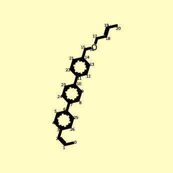 C/C=C\c1ccc(-c2ccc(-c3ccc(COC/C=C/C)cc3)cc2)cc1